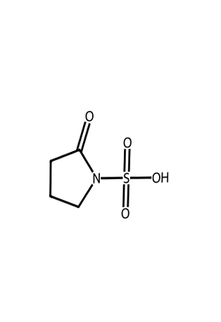 O=C1CCCN1S(=O)(=O)O